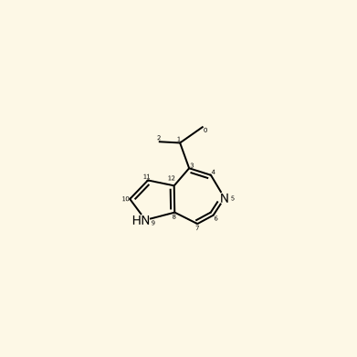 CC(C)C1=CN=C=Cc2[nH]ccc21